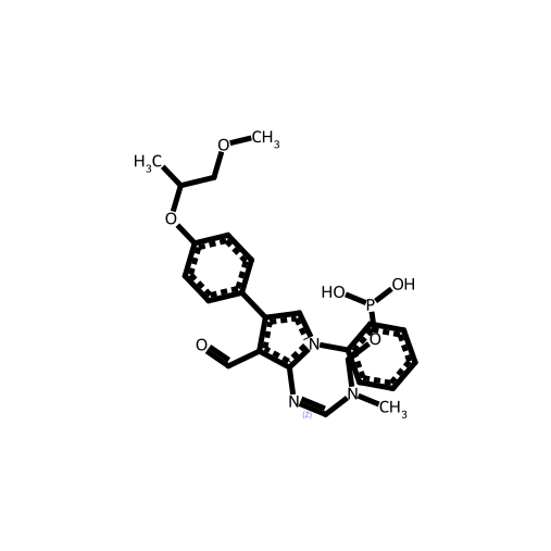 COCC(C)Oc1ccc(-c2cn(-c3ccccc3)c(/N=C\N(C)COP(O)O)c2C=O)cc1